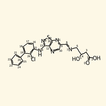 O=C(O)CC(O)CN=Cc1cnc2c(Nc3cccc(-c4ccccc4)c3Cl)nsc2n1